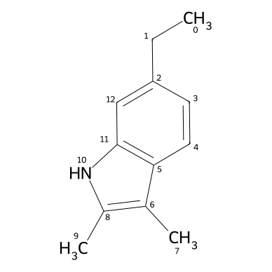 CCc1ccc2c(C)c(C)[nH]c2c1